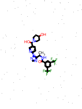 C[C@H](NC(=O)c1cc(C(F)(F)F)cc(C(F)(F)F)c1)c1ncnn1-c1ccc(C(O)N2CCC(O)CC2)cn1